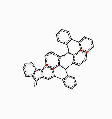 c1ccc(-c2ccccc2C2c3ccccc3C(c3ccccc3-c3ccc4c(c3)[nH]c3ccccc34)c3ccccc32)cc1